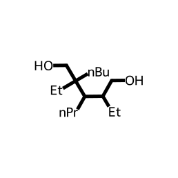 CCCCC(CC)(CO)C(CCC)C(CC)CO